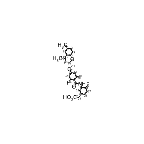 Cc1ccc2c(c1)N(C)C[C@@H](COc1cc(F)c(C(=O)Nc3cc(CC(=O)O)ccc3F)c(F)c1)O2